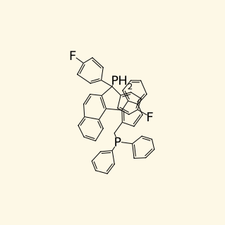 Fc1ccc(C(P)(c2ccc(F)cc2)c2ccc3ccccc3c2-c2c(CP(c3ccccc3)c3ccccc3)ccc3ccccc23)cc1